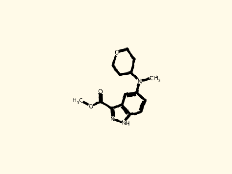 COC(=O)c1n[nH]c2ccc(N(C)C3CCOCC3)cc12